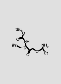 CCC(N)OCC(=O)[C@H](CC(C)C)NC(=O)OC(C)(C)C